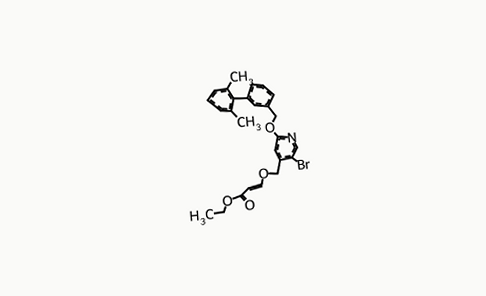 CCOC(=O)C=COCc1cc(OCc2cccc(-c3c(C)cccc3C)c2)ncc1Br